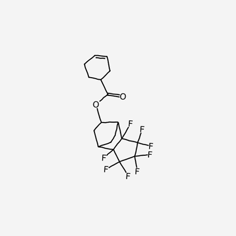 O=C(OC1CC2CCC1C1(F)C(F)(F)C(F)(F)C(F)(F)C21F)C1CC=CCC1